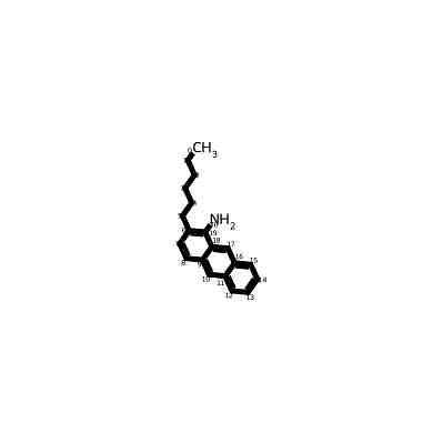 CCCCCCc1ccc2cc3ccccc3cc2c1N